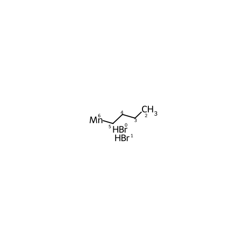 Br.Br.CCC[CH2][Mn]